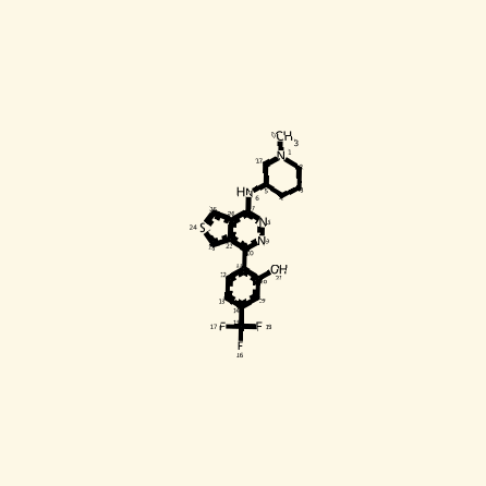 CN1CCCC(Nc2nnc(-c3ccc(C(F)(F)F)cc3O)c3cscc23)C1